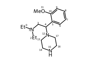 CCN(CC)CC(c1ccccc1OC)N1CCNCC1